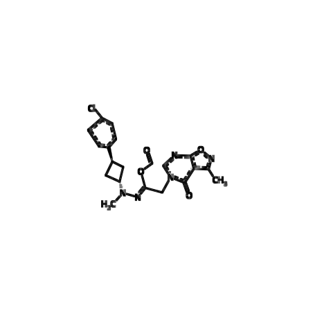 Cc1noc2ncn(C/C(=N/N(C)[C@H]3C[C@H](c4ccc(Cl)cc4)C3)OC=O)c(=O)c12